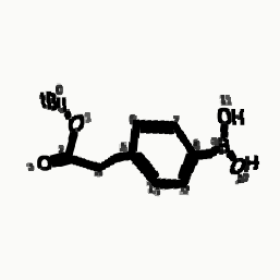 CC(C)(C)OC(=O)Cc1ccc(B(O)O)cc1